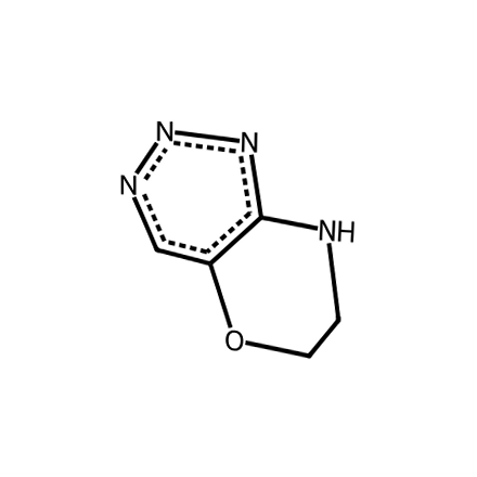 c1nnnc2c1OCCN2